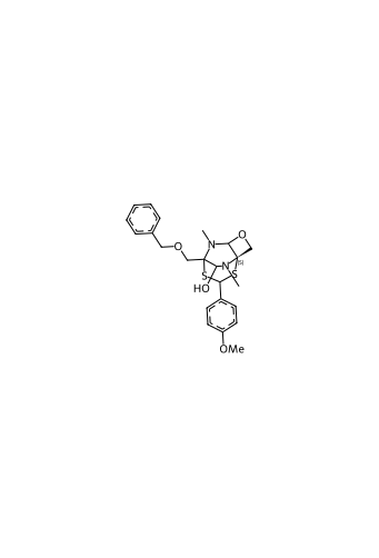 COc1ccc(C2SC3(COCc4ccccc4)C(O)N(C)[C@@]4(COC4N3C)S2)cc1